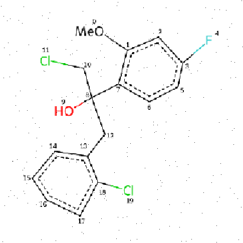 COc1cc(F)ccc1C(O)(CCl)Cc1ccccc1Cl